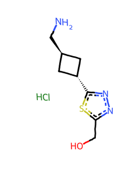 Cl.NC[C@H]1C[C@H](c2nnc(CO)s2)C1